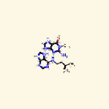 C=C(C)CCNc1ncnc2nc[nH]c12.Cn1c(N)nc2nc[nH]c2c1=O